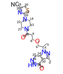 Cc1nn(C(C)COCCC(=O)N2CCN(c3nc(C#N)cs3)CC2)c2cn[nH]c(=O)c12